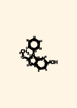 CSc1nc2ccc(O)nc2n1-c1ccccc1